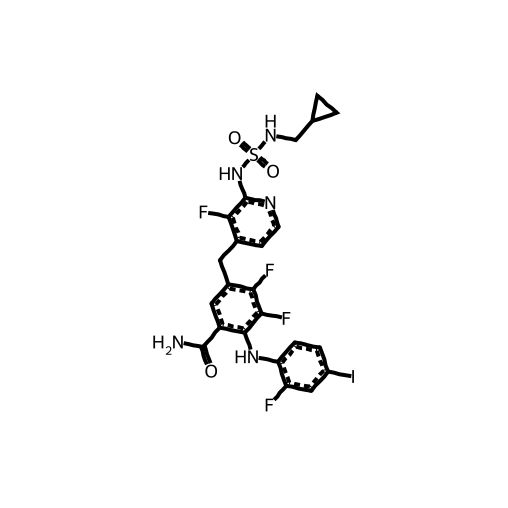 NC(=O)c1cc(Cc2ccnc(NS(=O)(=O)NCC3CC3)c2F)c(F)c(F)c1Nc1ccc(I)cc1F